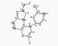 CON1C=C2N=NC3=C(N2C1)N(c1ccnc(Cl)c1)C=C(C)C3